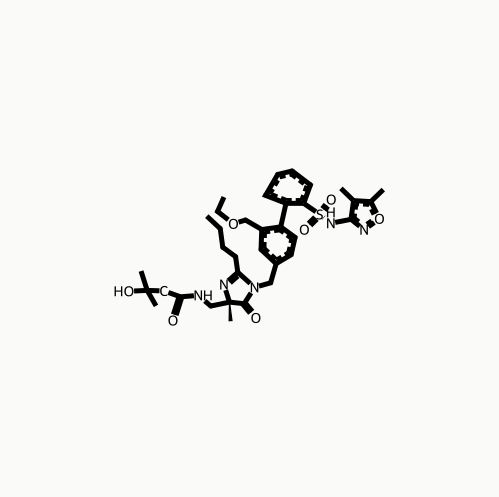 CCCCC1=N[C@@](C)(CNC(=O)CC(C)(C)O)C(=O)N1Cc1ccc(-c2ccccc2S(=O)(=O)Nc2noc(C)c2C)c(COCC)c1